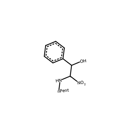 CCCCCN[C](C(O)c1ccccc1)[N+](=O)[O-]